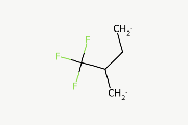 [CH2]CC([CH2])C(F)(F)F